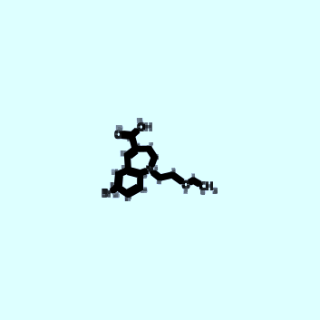 CCOCCN1CCC(C(=O)O)=Cc2cc(Br)ccc21